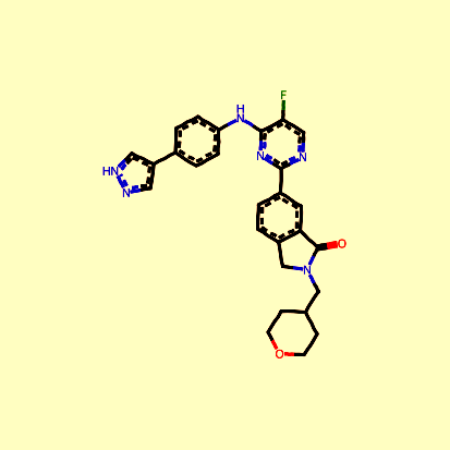 O=C1c2cc(-c3ncc(F)c(Nc4ccc(-c5cn[nH]c5)cc4)n3)ccc2CN1CC1CCOCC1